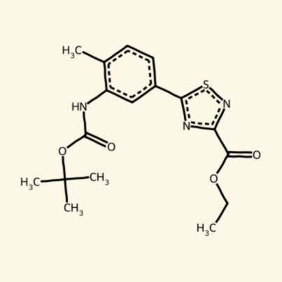 CCOC(=O)c1nsc(-c2ccc(C)c(NC(=O)OC(C)(C)C)c2)n1